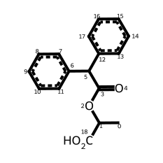 CC(OC(=O)C(c1ccccc1)c1ccccc1)C(=O)O